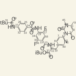 Cc1cc(=O)n(-c2ccc(C[C@H](NC(=O)c3cc(F)c(NS(=O)(=O)c4ccc(NC(=O)C(C)(C)C)cc4)cc3F)C(=O)OCC(C)C)cn2)c(=O)n1C